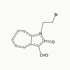 O=Cc1c2cccccc-2n(CCBr)c1=O